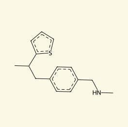 CNCc1ccc(CC(C)c2cccs2)cc1